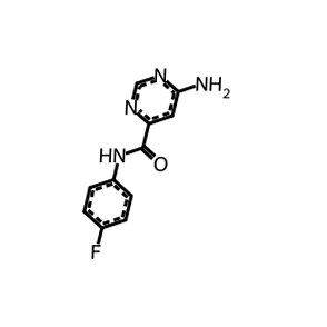 Nc1cc(C(=O)Nc2ccc(F)cc2)ncn1